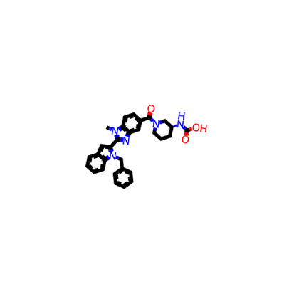 Cn1c(-c2cc3ccccc3n2Cc2ccccc2)nc2cc(C(=O)N3CCC[C@H](NC(=O)O)C3)ccc21